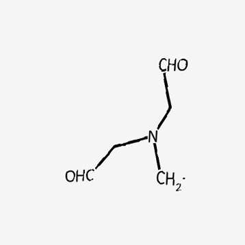 [CH2]N(CC=O)CC=O